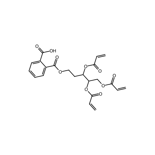 C=CC(=O)OCC(OC(=O)C=C)C(CCOC(=O)c1ccccc1C(=O)O)OC(=O)C=C